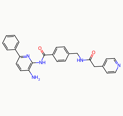 Nc1ccc(-c2ccccc2)nc1NC(=O)c1ccc(CNC(=O)Cc2ccncc2)cc1